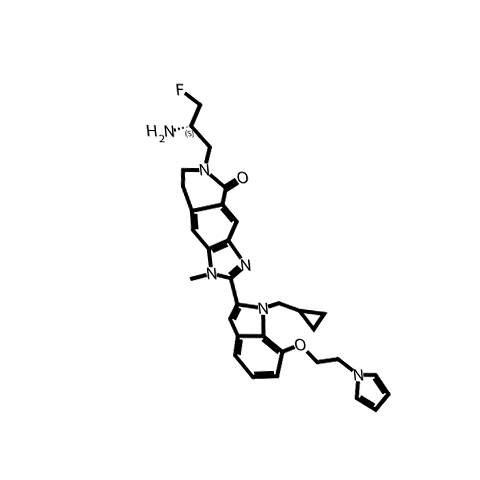 Cn1c(-c2cc3cccc(OCCn4cccc4)c3n2CC2CC2)nc2cc3c(cc21)CCN(C[C@H](N)CF)C3=O